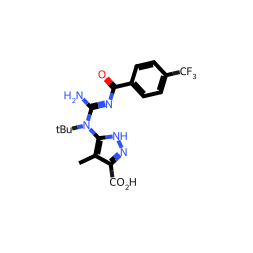 Cc1c(C(=O)O)n[nH]c1N(C(N)=NC(=O)c1ccc(C(F)(F)F)cc1)C(C)(C)C